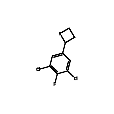 Fc1c(Cl)cc(C2[CH]CS2)cc1Cl